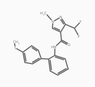 CSc1ccc(-c2ccccc2NC(=O)c2cn(C)nc2C(F)F)cc1